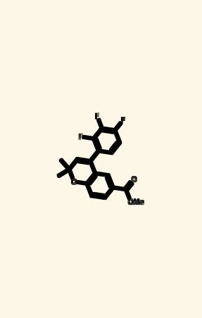 COC(=O)c1ccc2c(c1)C(c1ccc(F)c(F)c1F)=CC(C)(C)O2